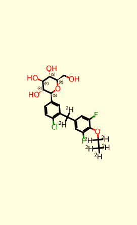 [2H]C([2H])(c1cc(F)c(OC([2H])([2H])C([2H])([2H])[2H])c(F)c1)c1cc([C@@H]2O[C@H](CO)[C@@H](O)[C@H](O)[C@H]2O)ccc1Cl